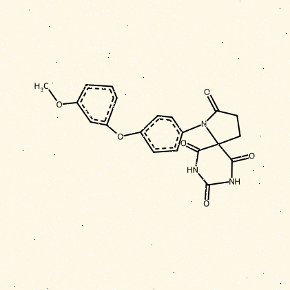 COc1cccc(Oc2ccc(N3C(=O)CCC34C(=O)NC(=O)NC4=O)cc2)c1